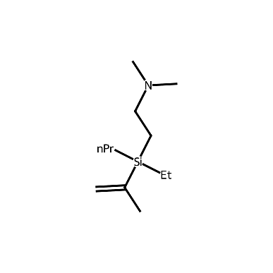 C=C(C)[Si](CC)(CCC)CCN(C)C